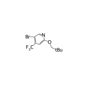 CC(C)(C)COc1cc(C(F)(F)F)c(Br)cn1